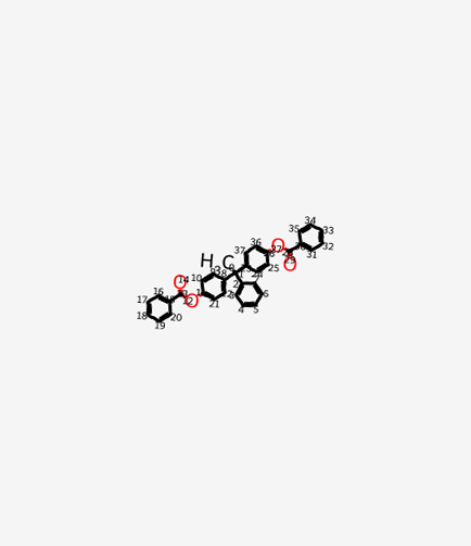 CC(c1ccccc1)(c1ccc(OC(=O)c2ccccc2)cc1)c1ccc(OC(=O)c2ccccc2)cc1